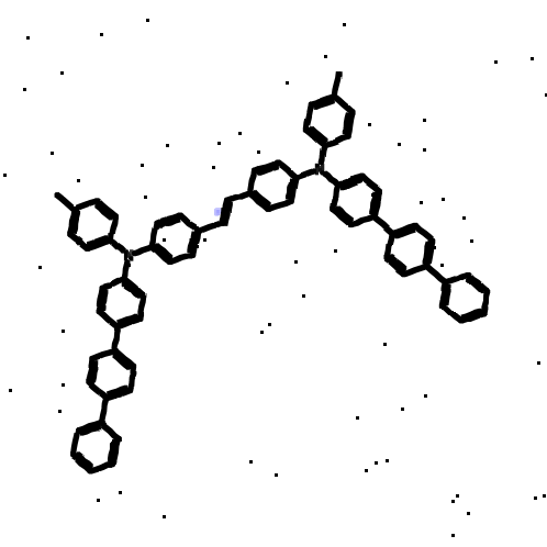 Cc1ccc(N(c2ccc(/C=C/c3ccc(N(c4ccc(C)cc4)c4ccc(-c5ccc(-c6ccccc6)cc5)cc4)cc3)cc2)c2ccc(-c3ccc(-c4ccccc4)cc3)cc2)cc1